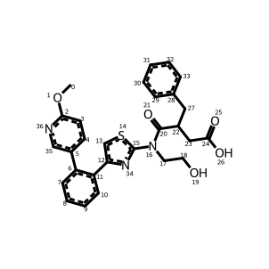 COc1ccc(-c2ccccc2-c2csc(N(CCO)C(=O)C(CC(=O)O)Cc3ccccc3)n2)cn1